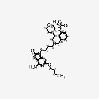 CCCCOc1nc(N)c2[nH]c(=O)n(CCCCN(CCN3CCOCC3)Cc3cccc(OC(C)=O)c3)c2n1